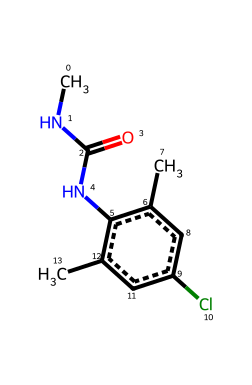 CNC(=O)Nc1c(C)cc(Cl)cc1C